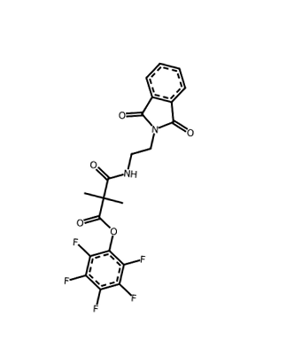 CC(C)(C(=O)NCCN1C(=O)c2ccccc2C1=O)C(=O)Oc1c(F)c(F)c(F)c(F)c1F